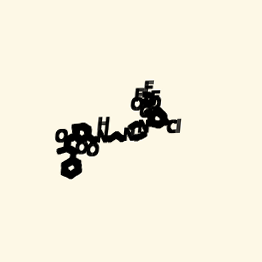 Cc1c(-c2ccccc2)oc2c(C(=O)NCCCN3CCN(c4cc(Cl)ccc4OS(=O)(=O)C(F)(F)F)CC3)cccc2c1=O